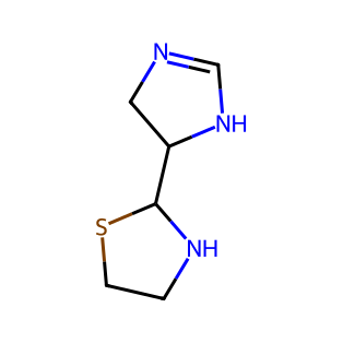 C1=NCC(C2NCCS2)N1